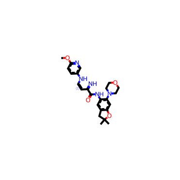 COc1ccc(N/C=C\C(=N)C(=O)Nc2cc3c(cc2N2CCOCC2)OC(C)(C)C3)cn1